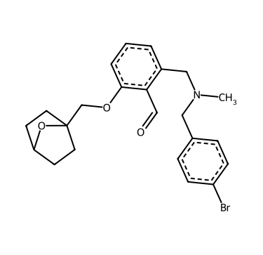 CN(Cc1ccc(Br)cc1)Cc1cccc(OCC23CCC(CC2)O3)c1C=O